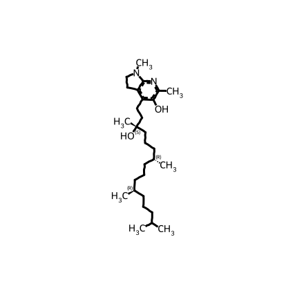 Cc1nc2c(c(CC[C@@](C)(O)CCC[C@H](C)CCC[C@H](C)CCCC(C)C)c1O)CCN2C